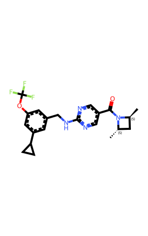 C[C@H]1C[C@H](C)N1C(=O)c1cnc(NCc2cc(OC(F)(F)F)cc(C3CC3)c2)nc1